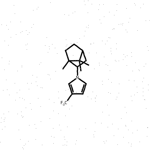 CC1(C)C2CCC1(C)C(n1ccc(C(F)(F)F)c1)C2